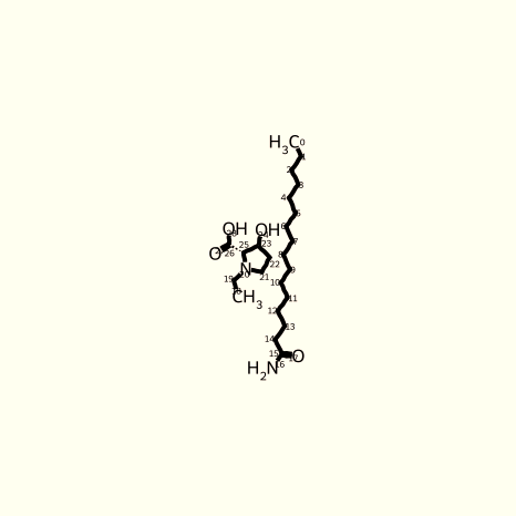 CCCCCCCCCCCCCCCC(N)=O.CCN1CCC(O)[C@H]1C(=O)O